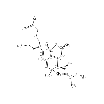 CCC[C@@H](CCCC(=O)O)C(=O)[N@+]1(O)C[C@@H](C)OC2=C1C(N)=CC(C)(C)[C@@H]2C(=O)N[C@H](C)CC